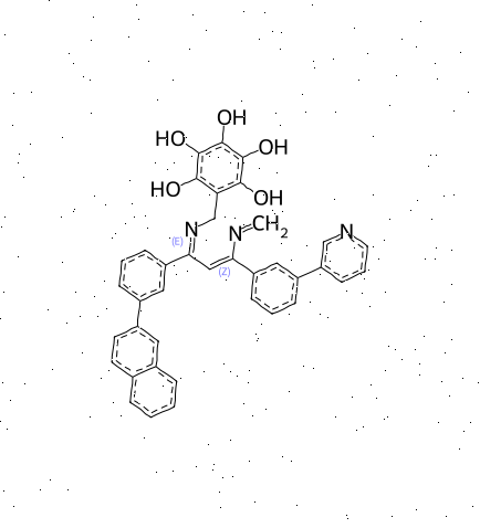 C=N/C(=C\C(=N/Cc1c(O)c(O)c(O)c(O)c1O)c1cccc(-c2ccc3ccccc3c2)c1)c1cccc(-c2cccnc2)c1